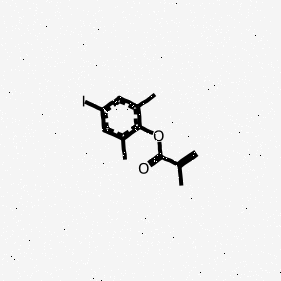 C=C(C)C(=O)Oc1c(C)cc(I)cc1C